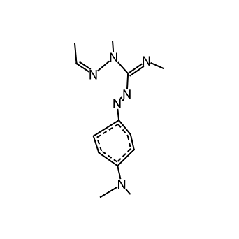 C/C=N\N(C)C(=N/C)/N=N/c1ccc(N(C)C)cc1